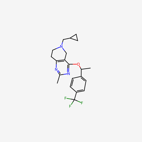 Cc1nc2c(c(OC(C)c3ccc(C(F)(F)F)cc3)n1)CN(CC1CC1)CC2